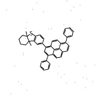 CC12CCCCC1(C)c1cc(-c3cc(-c4ccccc4)c4ccc5ccc(-c6ccccc6)c6ccc3c4c56)ccc1S2